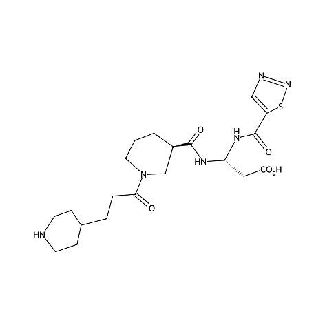 O=C(O)C[C@@H](NC(=O)c1cnns1)NC(=O)[C@@H]1CCCN(C(=O)CCC2CCNCC2)C1